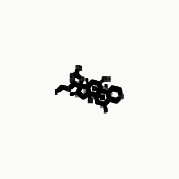 CCC(=O)O[C@]1(C(=O)SCF)[C@H](C)C[C@H]2[C@@H]3C[C@H](F)C4=COC=C[C@]4(C)[C@@]3(F)[C@@H](O)C[C@@]21C